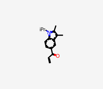 C=CC(=O)c1ccc2c(c1)c(C)c(C)n2C(C)C